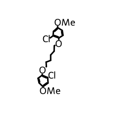 COc1ccc(OCCCCCCOc2ccc(OC)cc2Cl)c(Cl)c1